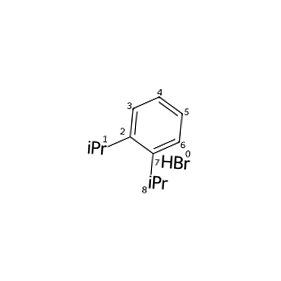 Br.CC(C)c1ccccc1C(C)C